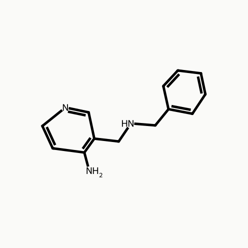 Nc1ccncc1CNCc1ccccc1